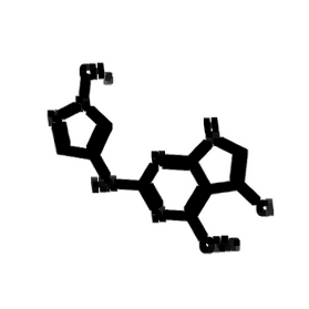 COc1nc(Nc2cnn(C)c2)nc2[nH]cc(Cl)c12